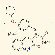 COC(=O)C(=Cc1ccc(OC2CCCC2)c(OC)c1)C(=Cc1ccccc1)C(N)=O